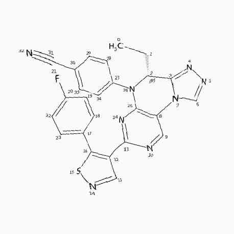 CC[C@@H]1c2nncn2-c2cnc(-c3cnsc3-c3ccc(F)cc3)nc2N1c1ccc(C#N)cc1